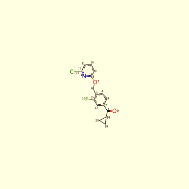 O=C(c1ccc(COc2cccc(Cl)n2)c(F)c1)C1CC1